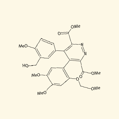 COCOc1cc(OC)c(OC)cc1-c1c(C(=O)OC)nnc(C(=O)OC)c1-c1ccc(OC)c(CO)c1